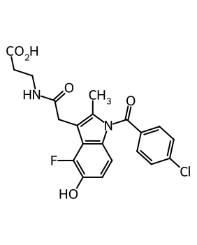 Cc1c(CC(=O)NCCC(=O)O)c2c(F)c(O)ccc2n1C(=O)c1ccc(Cl)cc1